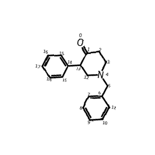 O=C1CCN(Cc2ccccc2)CC1c1ccccc1